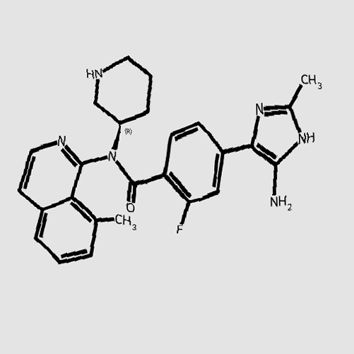 Cc1nc(-c2ccc(C(=O)N(c3nccc4cccc(C)c34)[C@@H]3CCCNC3)c(F)c2)c(N)[nH]1